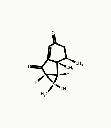 C[C@@H]1CC(=O)C=C2C(=O)[C@@H]3[C@H]([C@]21C)S3(C)C